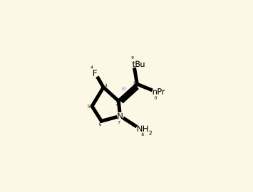 CCC/C(=C1/C(F)CCN1N)C(C)(C)C